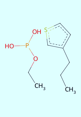 CCCc1ccsc1.CCOP(O)O